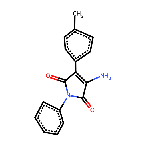 Cc1ccc(C2=C(N)C(=O)N(c3ccccc3)C2=O)cc1